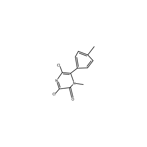 Cc1ccc(-c2c(Cl)nc(Cl)c(=O)n2C)cc1